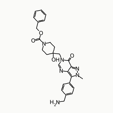 Cn1nc2c(=O)n(CC3(O)CCN(C(=O)OCc4ccccc4)CC3)cnc2c1-c1ccc(CN)cc1